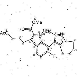 CCc1nn2c(c1-c1c(F)ccc3c(CCCOC(C)=O)c(C(=O)OC)n(C)c13)CCCC2